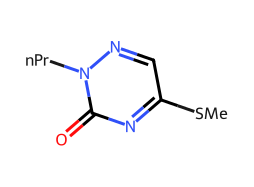 CCCn1ncc(SC)nc1=O